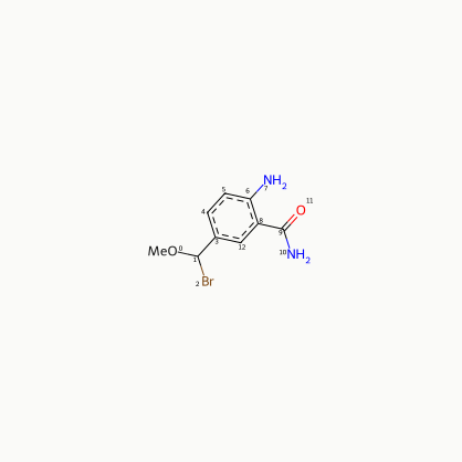 COC(Br)c1ccc(N)c(C(N)=O)c1